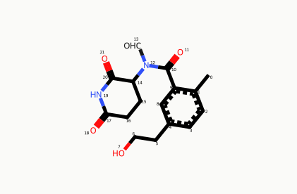 Cc1ccc(CCO)cc1C(=O)N(C=O)C1CCC(=O)NC1=O